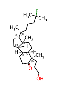 C[C@H](CCCC(C)(C)F)[C@H]1CC[C@H]2[C@@H]3CCC(=O)[C@](C)(CCCO)[C@H]3CC[C@]12C